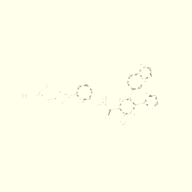 Cc1cnc2ccc(-c3nc(C(=O)NCc4cccc(N5CC(CN(C)C)C5)n4)c(N)nc3-c3ncco3)cn12